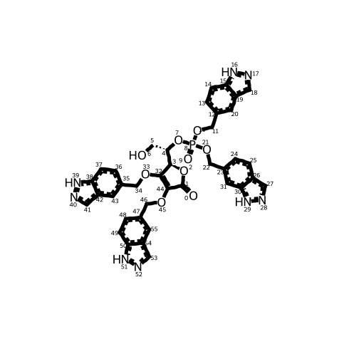 O=C1O[C@H]([C@H](CO)OP(=O)(OCc2ccc3[nH]ncc3c2)OCc2ccc3cn[nH]c3c2)C(OCc2ccc3[nH]ncc3c2)=C1OCc1ccc2[nH]ncc2c1